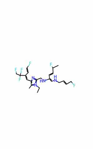 CCn1c(CNC(/C=C/C(C)F)=C/NC/C=C/CF)nc(/C=C(\C=C\F)C(F)(F)CF)c1C